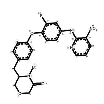 CCN1C(=O)COCC1Cc1ccc(Oc2ccc(Nc3ncccc3[N+](=O)[O-])cc2F)cc1